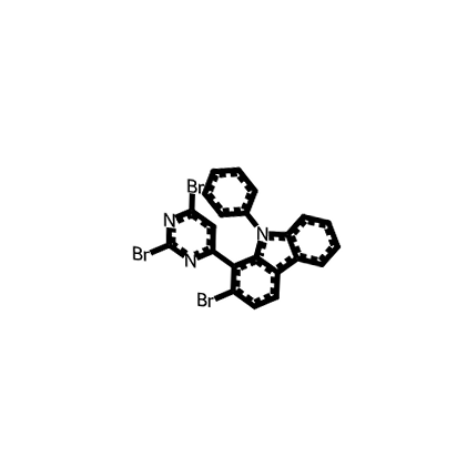 Brc1cc(-c2c(Br)ccc3c4ccccc4n(-c4ccccc4)c23)nc(Br)n1